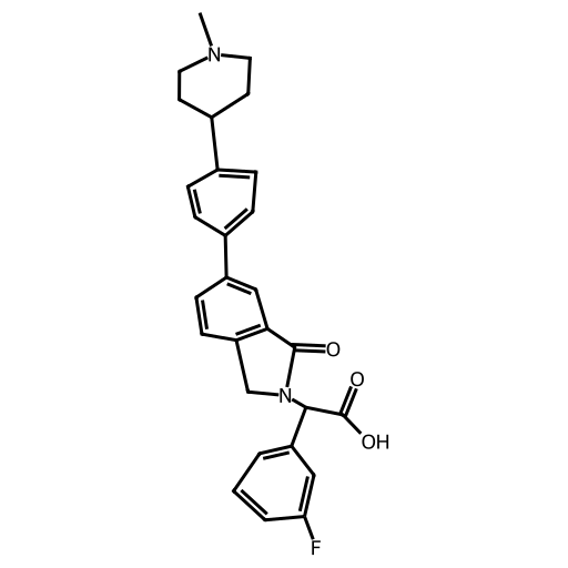 CN1CCC(c2ccc(-c3ccc4c(c3)C(=O)N(C(C(=O)O)c3cccc(F)c3)C4)cc2)CC1